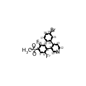 CS(=O)(=O)c1cc(F)c(-c2cnccc2-c2cccc(Br)c2)cc1F